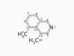 Cc1cccc2cncc(C)c12